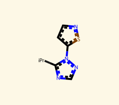 CC(C)c1ncnn1-c1ccns1